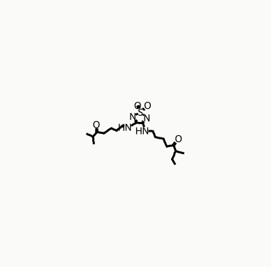 CCC(C)C(=O)CCCCNC1=NS(=O)(=O)N=C1NCCCCC(=O)C(C)C